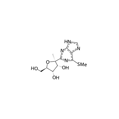 CSc1nc([C@]2(C)O[C@H](CO)[C@@H](O)[C@H]2O)nc2[nH]cnc12